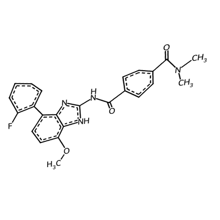 COc1ccc(-c2ccccc2F)c2nc(NC(=O)c3ccc(C(=O)N(C)C)cc3)[nH]c12